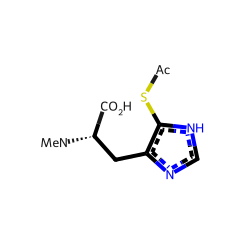 CN[C@@H](Cc1nc[nH]c1SC(C)=O)C(=O)O